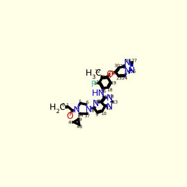 C=CC(=O)N1CCN(c2ccc3ncnc(Nc4ccc(Oc5ccn6ncnc6c5)c(C)c4F)c3n2)C[C@@H]1C1CC1